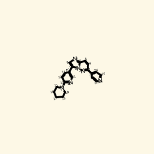 c1cc(-c2ccc3ncc(-c4ccc(N5CCCCC5)nc4)n3n2)ccn1